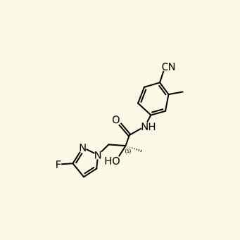 Cc1cc(NC(=O)[C@@](C)(O)Cn2ccc(F)n2)ccc1C#N